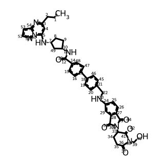 CCCc1cc(N[C@@H]2CC[C@@H](NC(=O)c3ccc(-c4ccc(CNc5ccc6c(c5)C(=O)N(C5CCC(=O)N(CO)C5=O)C6=O)cc4)cc3)C2)n2nccc2n1